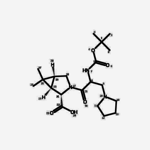 CC(C)(C)OC(=O)NC(CN1CCCC1)C(=O)N1C[C@H]2[C@@H]([C@H]1C(=O)O)C2(C)C